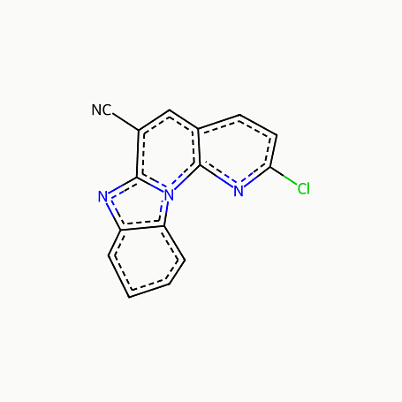 N#Cc1cc2ccc(Cl)nc2n2c1nc1ccccc12